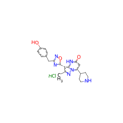 Cc1nn2c(C3CCNCC3)cc(=O)[nH]c2c1-c1nc(Cc2ccc(O)cc2)no1.Cl